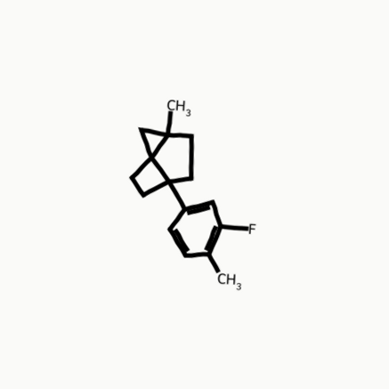 Cc1ccc(C23CCC4(C)CC42CC3)cc1F